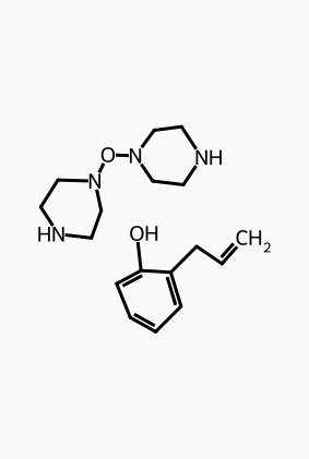 C1CN(ON2CCNCC2)CCN1.C=CCc1ccccc1O